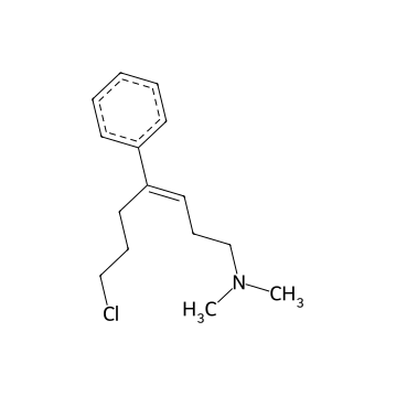 CN(C)CCC=C(CCCCl)c1ccccc1